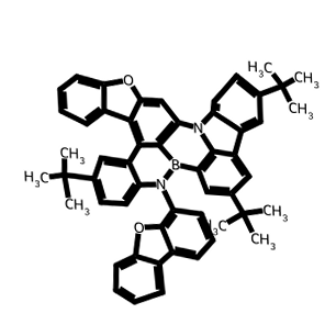 CC(C)(C)c1ccc2c(c1)-c1c3c(cc4oc5ccccc5c14)-n1c4ccc(C(C)(C)C)cc4c4cc(C(C)(C)C)cc(c41)B3N2c1cccc2c1oc1ccccc12